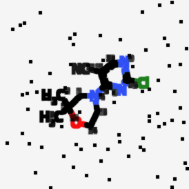 CC1(C)CN(c2nc(Cl)ncc2C#N)CCO1